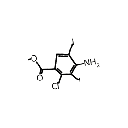 COC(=O)c1cc(I)c(N)c(I)c1Cl